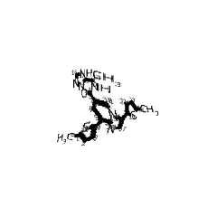 Cc1ccc(-c2cc(C(=O)NC(C)c3nnc[nH]3)cn3c(-c4ccc(C)s4)cnc23)s1